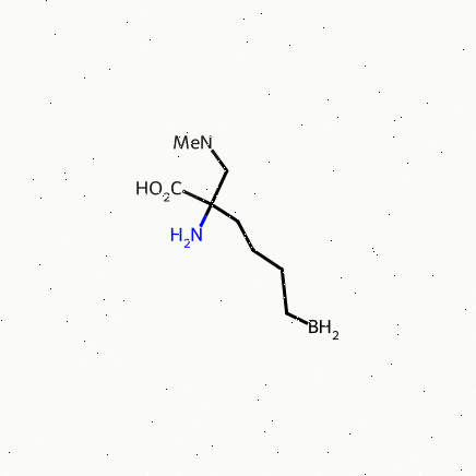 BCCCCC(N)(CNC)C(=O)O